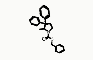 C[C]1N(C(=O)OCc2ccccc2)CCC1(c1ccccc1)c1ccccc1